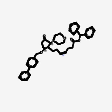 O=C(CC/C=C\CCC1[C@@H](OCc2ccc(-c3ccccc3)cc2)CC(=O)[C@@H]1N1CCOCC1)OC(c1ccccc1)c1ccccc1